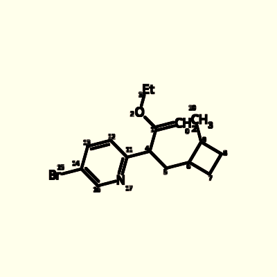 C=C(OCC)C(CC1CCC1C)c1ccc(Br)cn1